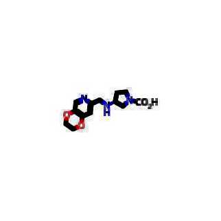 O=C(O)N1CC[C@H](NCc2cc3c(cn2)OCCO3)C1